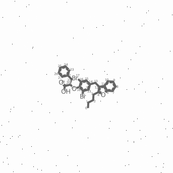 CCCCc1oc2ccccc2c1Cc1cc(Br)c(O[C@H](Cc2ccccc2)C(=O)O)c(Br)c1